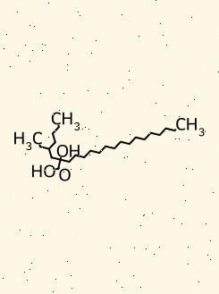 CCCCCCCCCCCCCCCCC(O)(CC(CC)CCCC)C(=O)O